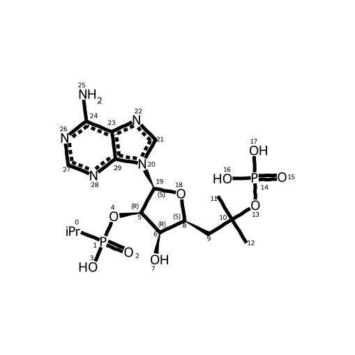 CC(C)P(=O)(O)O[C@@H]1[C@H](O)[C@H](CC(C)(C)OP(=O)(O)O)O[C@@H]1n1cnc2c(N)ncnc21